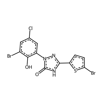 O=c1[nH]c(-c2ccc(Br)s2)nn1-c1cc(Cl)cc(Br)c1O